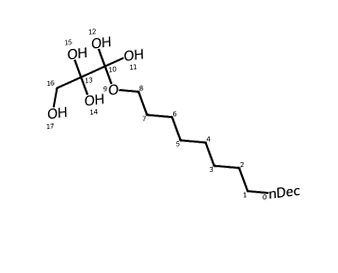 CCCCCCCCCCCCCCCCCCOC(O)(O)C(O)(O)CO